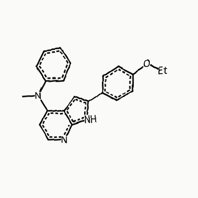 CCOc1ccc(-c2cc3c(N(C)c4ccccc4)ccnc3[nH]2)cc1